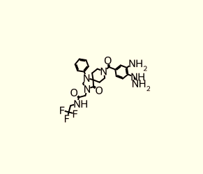 NNc1ccc(C(=O)N2CCC3(CC2)C(=O)N(CC(=O)NCC(F)(F)F)CN3c2ccccc2)cc1N